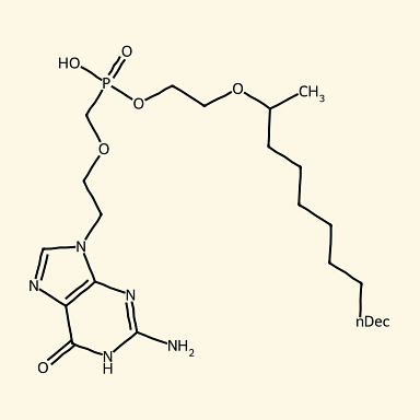 CCCCCCCCCCCCCCCCC(C)OCCOP(=O)(O)COCCn1cnc2c(=O)[nH]c(N)nc21